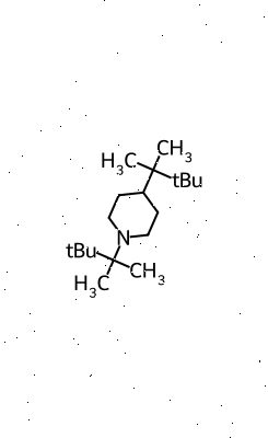 CC(C)(C)C(C)(C)C1CCN(C(C)(C)C(C)(C)C)CC1